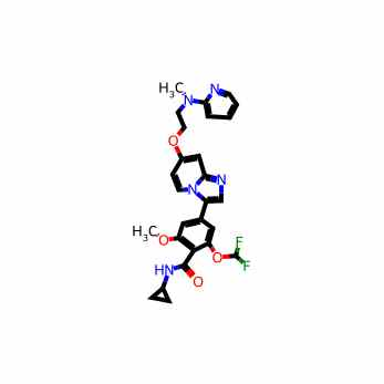 COc1cc(-c2cnc3cc(OCCN(C)c4ccccn4)ccn23)cc(OC(F)F)c1C(=O)NC1CC1